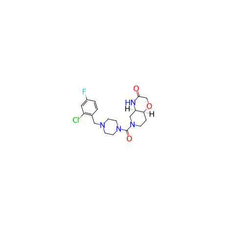 O=C1CO[C@H]2CCN(C(=O)N3CCN(Cc4ccc(F)cc4Cl)CC3)C[C@H]2N1